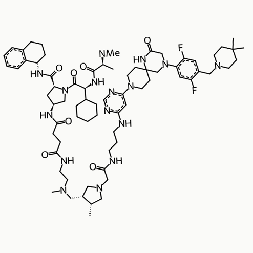 CN[C@@H](C)C(=O)N[C@H](C(=O)N1C[C@@H](NC(=O)CCC(=O)NCCN(C)C[C@@H]2CN(CC(=O)NCCCNc3cc(N4CCC5(CC4)CN(c4cc(F)c(CN6CCC(C)(C)CC6)cc4F)CC(=O)N5)ncn3)C[C@@H]2C)C[C@H]1C(=O)N[C@H]1CCCc2ccccc21)C1CCCCC1